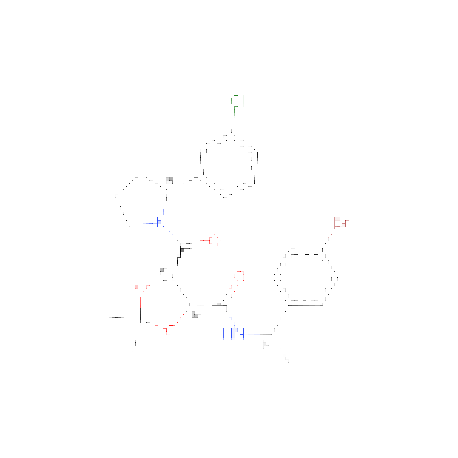 C[C@H](NC(=O)[C@@H]1OC(C)(C)O[C@H]1C(=O)N1CCC[C@@H]1c1cccc(Cl)c1)c1ccc(Br)cc1